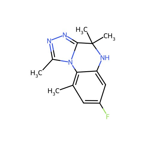 Cc1cc(F)cc2c1-n1c(C)nnc1C(C)(C)N2